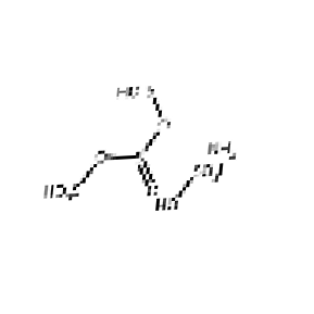 N.O=S(=O)(O)O.O=S(OS(=O)(=O)O)OS(=O)(=O)O